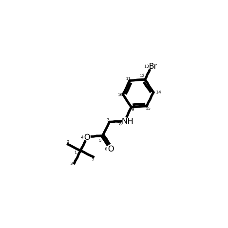 CC(C)(C)OC(=O)CNc1ccc(Br)cc1